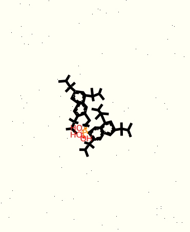 CC(C)C(C)(C)c1cc(C(C)(C)C(C)C)c2cc(CC(C)(C)P(O)(O)(O)c3cc4c(C(C)(C)C(C)C)cc(C(C)(C)C(C)C)cc4cc3C(C)(C)C(C)C)c(C(C)(C)C(C)C)cc2c1